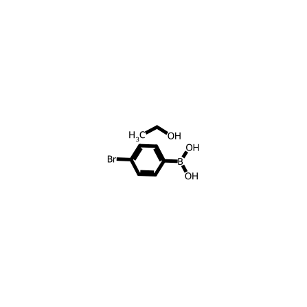 CCO.OB(O)c1ccc(Br)cc1